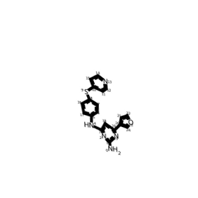 Nc1nc(Nc2ccc(Sc3ccncc3)cc2)cc(-c2ccoc2)n1